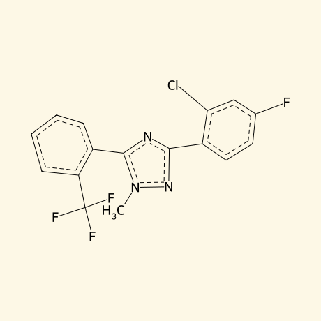 Cn1nc(-c2ccc(F)cc2Cl)nc1-c1ccccc1C(F)(F)F